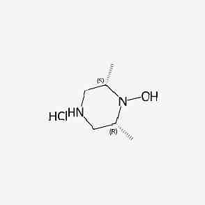 C[C@@H]1CNC[C@H](C)N1O.Cl